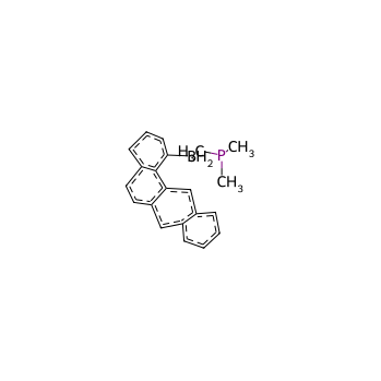 Bc1cccc2ccc3cc4ccccc4cc3c12.CP(C)C